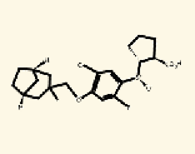 CC1(COc2cc(F)c([S@+]([O-])[C@@H]3CCC[C@H]3C(=O)O)cc2Cl)C[C@@H]2CC[C@@H](C2)C1